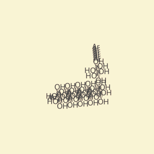 OC[C@@H](O)[C@@H](O)[C@H](O)[C@H](O)CO.OC[C@@H](O)[C@@H](O)[C@H](O)[C@H](O)CO.OC[C@@H](O)[C@@H](O)[C@H](O)[C@H](O)CO.OC[C@@H](O)[C@@H](O)[C@H](O)[C@H](O)CO.OC[C@@H](O)[C@@H](O)[C@H](O)[C@H](O)CO.OC[C@@H](O)[C@@H](O)[C@H](O)[C@H](O)CO.[Ar].[Ar].[Ar].[Ar].[Ar].[Ar].[Ar].[Ar].[Ar]